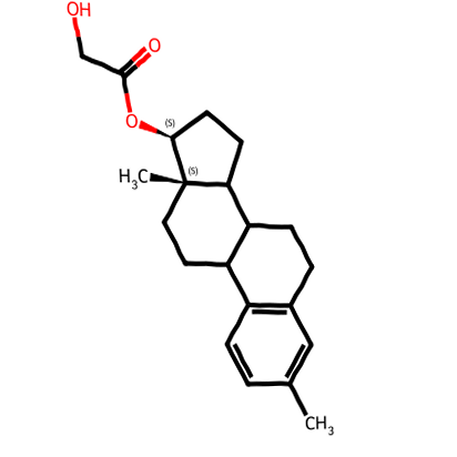 Cc1ccc2c(c1)CCC1C2CC[C@@]2(C)C1CC[C@@H]2OC(=O)CO